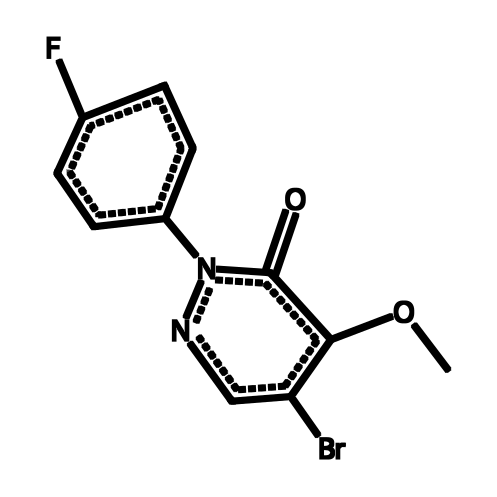 COc1c(Br)cnn(-c2ccc(F)cc2)c1=O